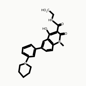 Cn1c(=O)c(C(=O)NCC(=O)O)c(O)c2cc(-c3cccc(N4CCCCC4)c3)ccc21